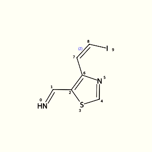 N=Cc1scnc1/C=C\I